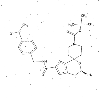 C[C@H]1Cc2cc(C(=O)NCc3ccc([S+](C)[O-])cc3)sc2C2(CCN(C(=O)OC(C)(C)C)CC2)O1